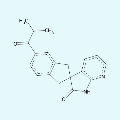 CC(C)C(=O)c1ccc2c(c1)CC1(C2)C(=O)Nc2ncccc21